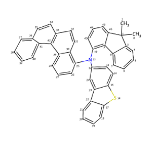 CC1(C)c2ccccc2-c2c(N(c3ccc4sc5ccccc5c4c3)c3cccc4c3ccc3ccc5ccccc5c34)cccc21